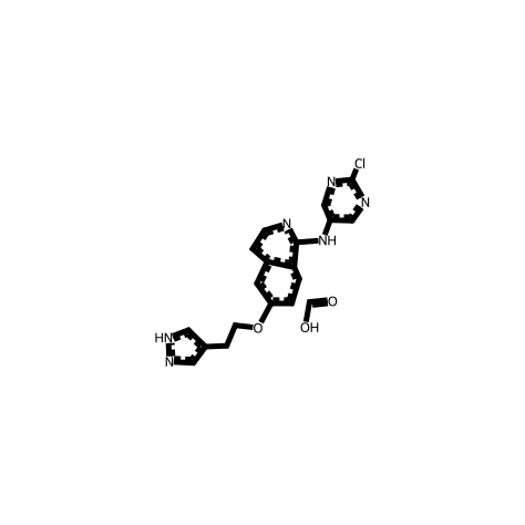 Clc1ncc(Nc2nccc3cc(OCCc4cn[nH]c4)ccc23)cn1.O=CO